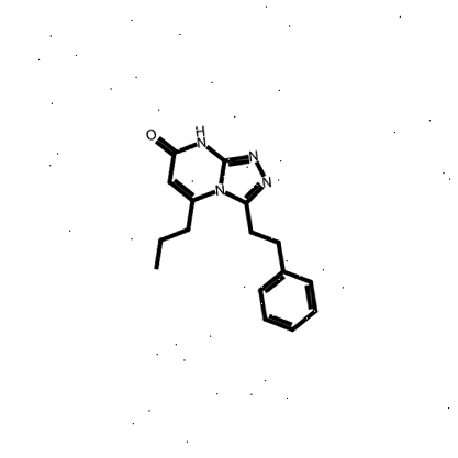 CCCc1cc(=O)[nH]c2nnc(CCc3ccccc3)n12